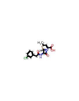 CC1C=C(C(=O)O)N2C(=O)C(NC(=O)Cc3cccc(Cl)c3)[C@@H]2S1